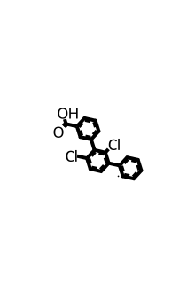 O=C(O)c1cccc(-c2c(Cl)ccc(-c3[c]cccc3)c2Cl)c1